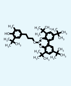 Cc1cc(CCCOp2oc3c(C(C)(C)C)cc(C(C)(C)C)cc3c3cc(C(C)(C)C)cc(C(C)(C)C)c3o2)cc(C(C)(C)C)c1O